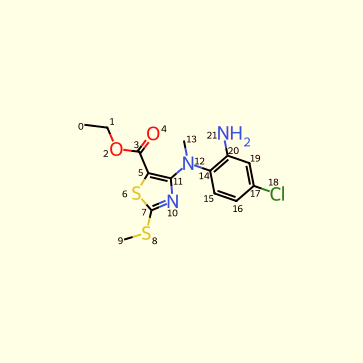 CCOC(=O)c1sc(SC)nc1N(C)c1ccc(Cl)cc1N